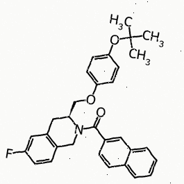 CC(C)(C)Oc1ccc(OC[C@@H]2Cc3cc(F)ccc3CN2C(=O)c2ccc3ccccc3c2)cc1